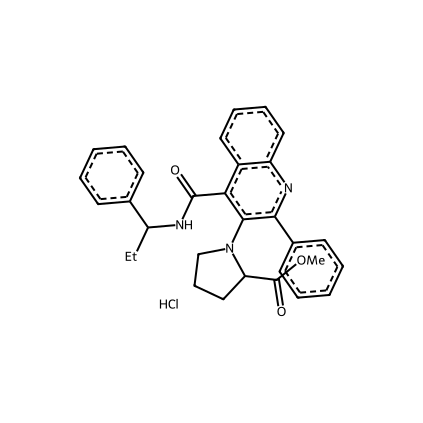 CCC(NC(=O)c1c(N2CCCC2C(=O)OC)c(-c2ccccc2)nc2ccccc12)c1ccccc1.Cl